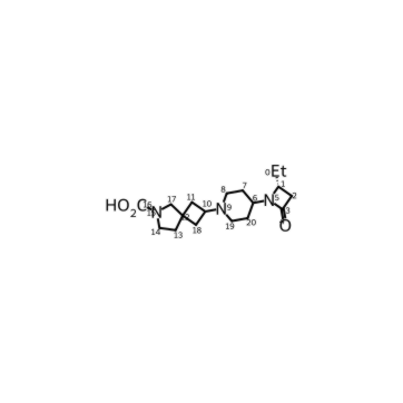 CC[C@@H]1CC(=O)N1C1CCN(C2CC3(CCN(C(=O)O)C3)C2)CC1